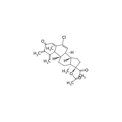 C=C1C(=C)[C@@]2(C)C(=CC1=O)C(Cl)=C[C@@H]1[C@@H]2CC[C@@]2(C)[C@H]1CC[C@]2(OC(C)=O)C(C)=O